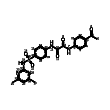 CC(=O)c1ccc(NC(=O)C(=O)Nc2ccc(S(=O)(=O)Nc3nc(C)cc(C)n3)cc2)cc1